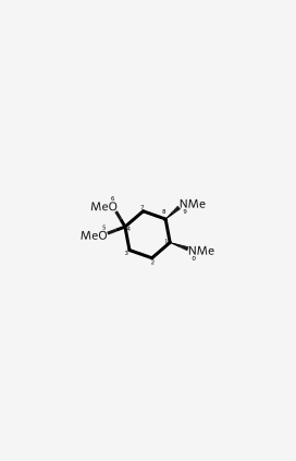 CN[C@H]1CCC(OC)(OC)C[C@H]1NC